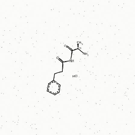 C[C@@H](N)C(=O)NC(=O)CCc1ccccc1.Cl